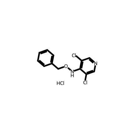 Cl.Clc1cncc(Cl)c1NOCc1ccccc1